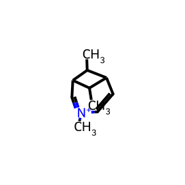 CC1C2C=C[N+](C)=CC1C2C